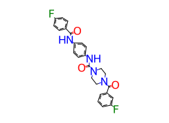 O=C(Nc1ccc(NC(=O)N2CCN(C(=O)c3cccc(F)c3)CC2)cc1)c1ccc(F)cc1